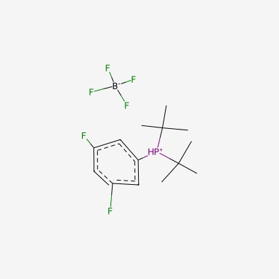 CC(C)(C)[PH+](c1cc(F)cc(F)c1)C(C)(C)C.F[B-](F)(F)F